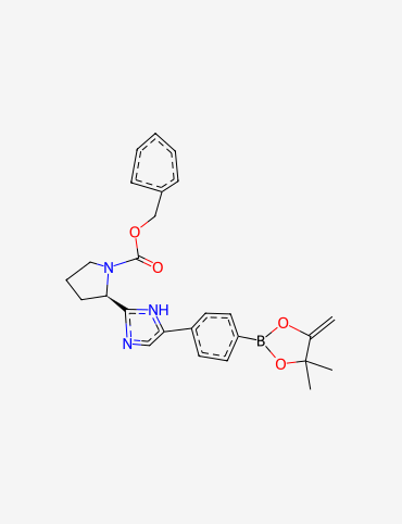 C=C1OB(c2ccc(-c3cnc([C@H]4CCCN4C(=O)OCc4ccccc4)[nH]3)cc2)OC1(C)C